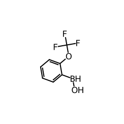 OBc1ccccc1OC(F)(F)F